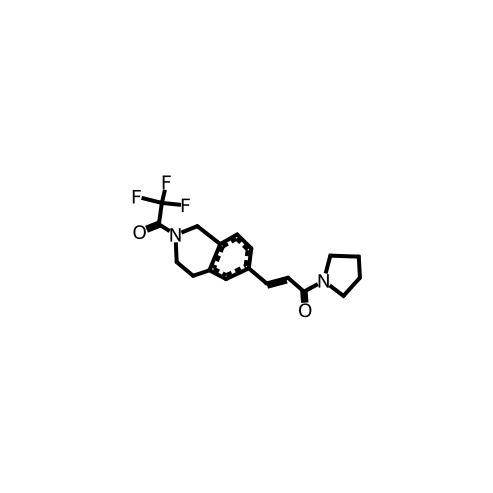 O=C(/C=C/c1ccc2c(c1)CCN(C(=O)C(F)(F)F)C2)N1CCCC1